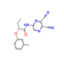 CCC(Oc1cccc(C)c1)C(=O)Nc1cnc(C#N)c(C#N)n1